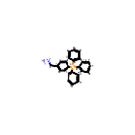 NCc1ccc([P](c2ccccc2)(c2ccccc2)c2ccccc2)cc1